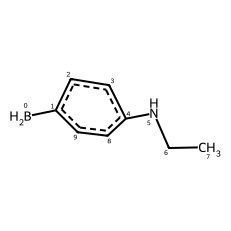 Bc1ccc(NCC)cc1